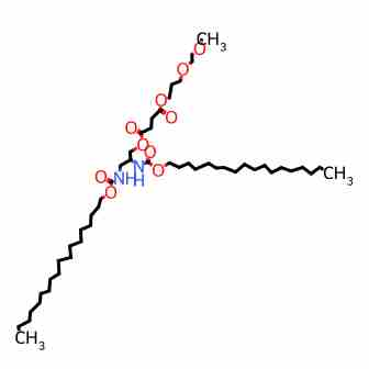 CCCCCCCCCCCCCCCCCCOC(=O)NCC(COC(=O)CCC(=O)OCCCOCCOC)NC(=O)OCCCCCCCCCCCCCCCCCC